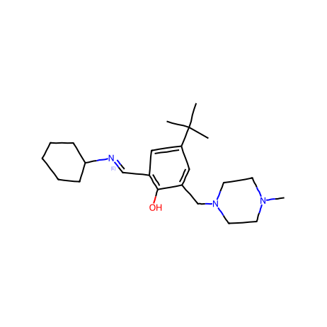 CN1CCN(Cc2cc(C(C)(C)C)cc(/C=N/C3CCCCC3)c2O)CC1